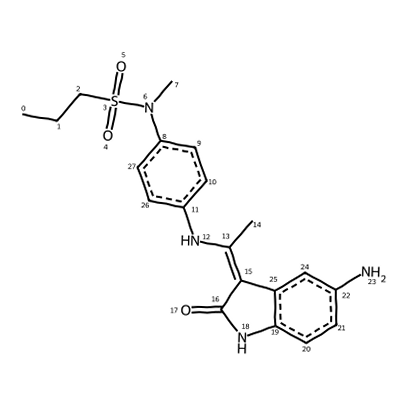 CCCS(=O)(=O)N(C)c1ccc(N/C(C)=C2\C(=O)Nc3ccc(N)cc32)cc1